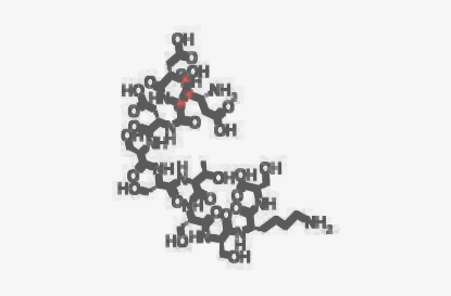 C[C@@H](O)[C@H](NC(=O)[C@H](CO)NC(=O)[C@@H](CO)NC(=O)[C@H](CC(=O)O)NC(=O)[C@@H](CC(=O)O)NC(=O)[C@H](CC(=O)O)NC(=O)[C@H](N)CC(=O)O)C(=O)N[C@@H](CO)C(=O)N[C@H](CO)C(=O)N[C@@H](CCCCN)C(=O)N[C@H](CO)C(=O)O